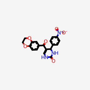 O=C1NC=C(C(=O)c2ccc3c(c2)OCCO3)C(c2ccc([N+](=O)[O-])cc2)N1